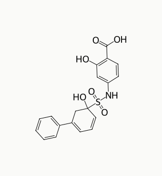 O=C(O)c1ccc(NS(=O)(=O)C2(O)C=CC=C(c3ccccc3)C2)cc1O